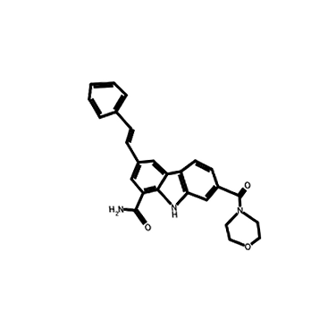 NC(=O)c1cc(C=Cc2ccccc2)cc2c1[nH]c1cc(C(=O)N3CCOCC3)ccc12